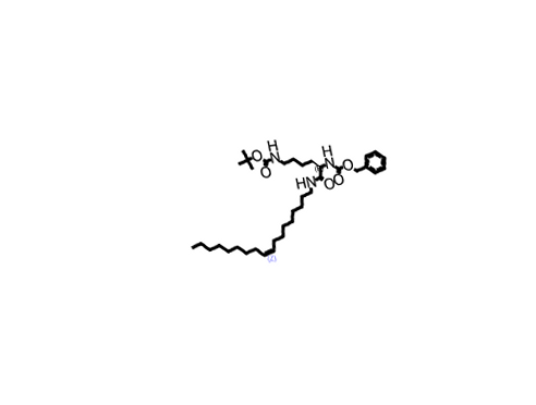 CCCCCCCC/C=C\CCCCCCCCNC(=O)[C@@H](CCCCNC(=O)OC(C)(C)C)NC(=O)OCc1ccccc1